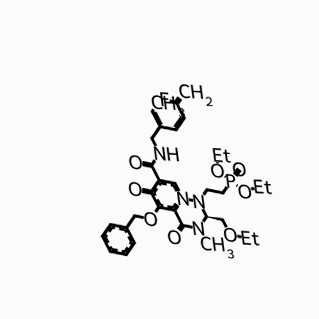 C=C(F)/C=C\C(=C/C)CNC(=O)c1cn2c(c(OCc3ccccc3)c1=O)C(=O)N(C)[C@H](COCC)N2CCP(=O)(OCC)OCC